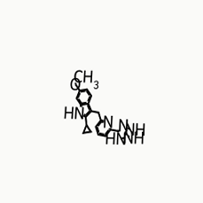 COc1ccc2c(Cc3cccc(C4=NNNN4)n3)c(C3CC3)[nH]c2c1